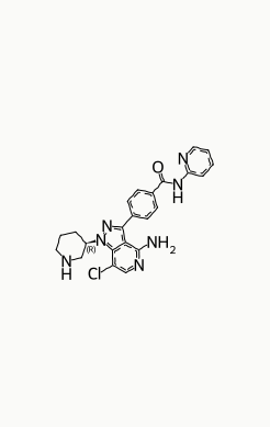 Nc1ncc(Cl)c2c1c(-c1ccc(C(=O)Nc3ccccn3)cc1)nn2[C@@H]1CCCNC1